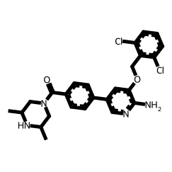 CC1CN(C(=O)c2ccc(-c3cnc(N)c(OCc4c(Cl)cccc4Cl)c3)cc2)CC(C)N1